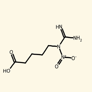 N=C(N)N(CCCCC(=O)O)[N+](=O)[O-]